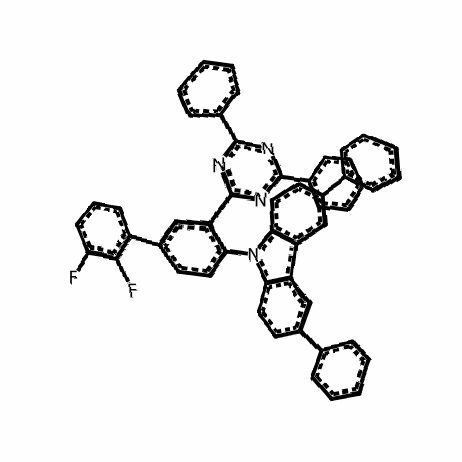 Fc1cccc(-c2ccc(-n3c4ccc(-c5ccccc5)cc4c4cc(-c5ccccc5)ccc43)c(-c3nc(-c4ccccc4)nc(-c4ccccc4)n3)c2)c1F